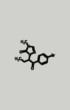 CCC(C(=O)c1ccc(Br)cc1)n1ncn(C)c1=O